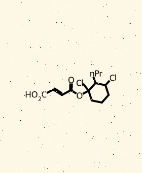 CCCC1C(Cl)CCCC1(Cl)OC(=O)/C=C/C(=O)O